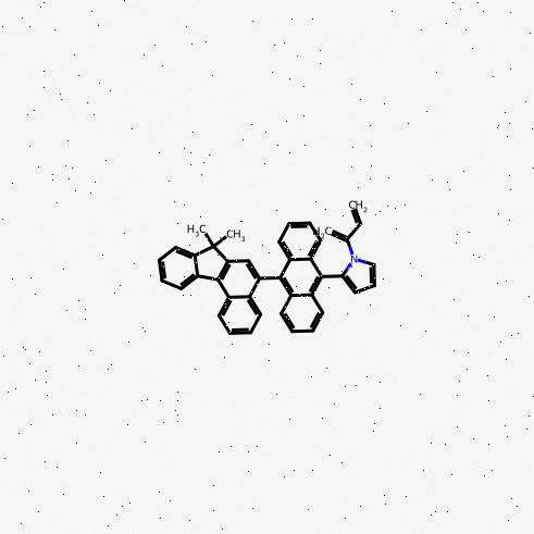 C=CC(=C)n1cccc1-c1c2ccccc2c(-c2cc3c(c4ccccc24)-c2ccccc2C3(C)C)c2ccccc12